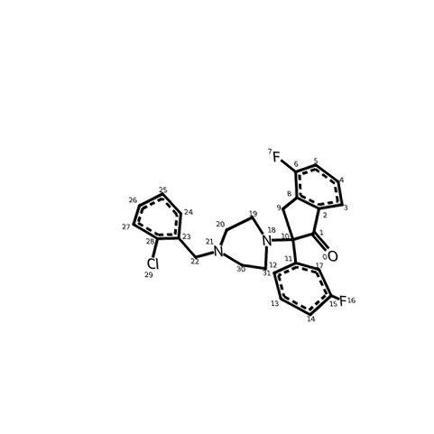 O=C1c2cccc(F)c2CC1(c1cccc(F)c1)N1CCN(Cc2ccccc2Cl)CC1